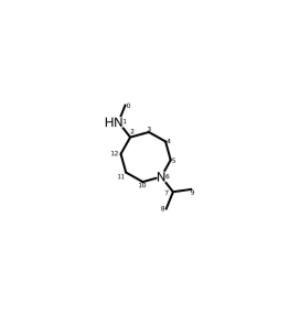 CNC1CCCN(C(C)C)CCC1